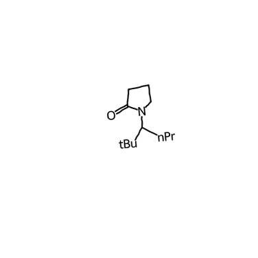 CCCC(N1CCCC1=O)C(C)(C)C